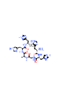 C[C@H](NC(=O)CNC(=O)[C@H](Cc1c[nH]cn1)NC(=O)[C@@H](N)Cc1c[nH]cn1)C(=O)N[C@@H](Cc1c[nH]cn1)C(=O)N[C@@H](Cc1c[nH]cn1)C(=O)O